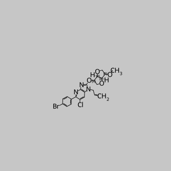 C=CCn1c(O[C@@H]2CO[C@H]3[C@@H]2OC[C@H]3OC)nc2nc(-c3ccc(Br)cc3)c(Cl)cc21